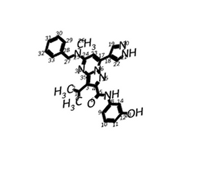 CC(C)c1c(C(=O)Nc2cccc(O)c2)nn2c(-c3cn[nH]c3)cc(N(C)Cc3ccccc3)nc12